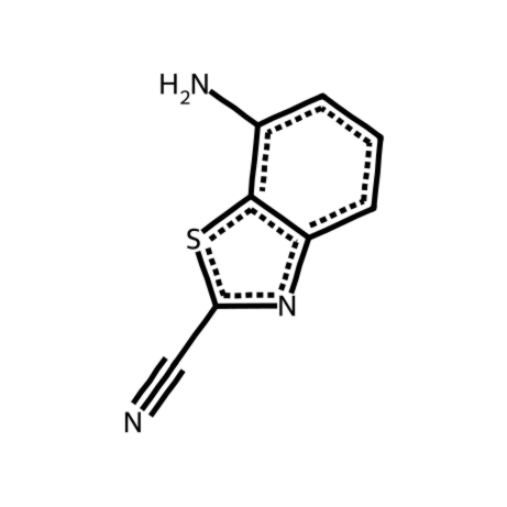 N#Cc1nc2cccc(N)c2s1